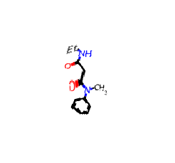 CCNC(=O)CC(=O)N(C)c1ccccc1